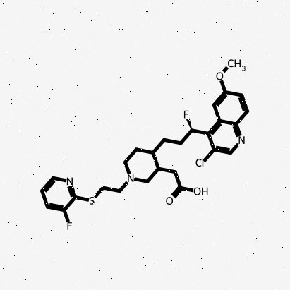 COc1ccc2ncc(Cl)c([C@H](F)CCC3CCN(CCSc4ncccc4F)CC3CC(=O)O)c2c1